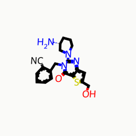 N#Cc1ccccc1Cn1c(N2CCC[C@@H](N)C2)nc2cc(CO)sc2c1=O